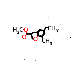 CCc1cc(C)c2c(c1)CC(C(=O)OC)CO2